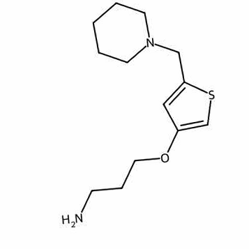 NCCCOc1csc(CN2CCCCC2)c1